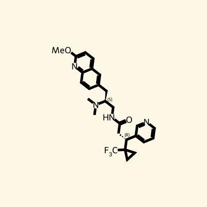 COc1ccc2cc(C[C@@H](CNC(=O)C[C@H](c3cccnc3)C3(C(F)(F)F)CC3)N(C)C)ccc2n1